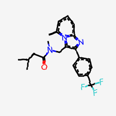 Cc1cccc2nc(-c3ccc(C(F)(F)F)cc3)c(CN(C)C(=O)CC(C)C)n12